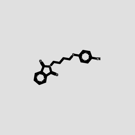 N#Cc1ccc(OCCCCN2C(=O)c3ccccc3C2=O)cc1